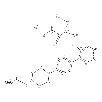 COCCN1CCC(c2ccc(-c3ccccc3CO[C@@H](CC(C)C)C(=O)NCC#N)cc2)CC1